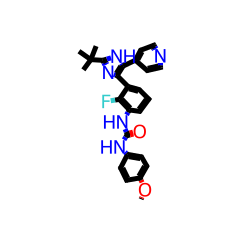 COc1ccc(NC(=O)Nc2cccc(-c3nc(C(C)(C)C)[nH]c3-c3ccncc3)c2F)cc1